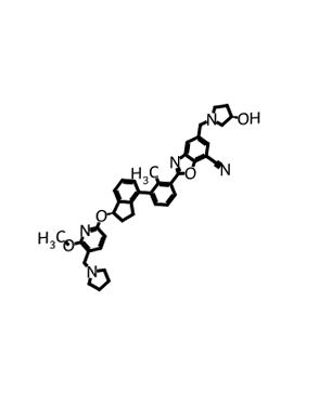 COc1nc(O[C@@H]2CCc3c(-c4cccc(-c5nc6cc(CN7CC[C@@H](O)C7)cc(C#N)c6o5)c4C)cccc32)ccc1CN1CCCC1